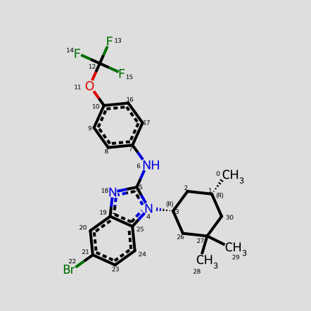 C[C@H]1C[C@@H](n2c(Nc3ccc(OC(F)(F)F)cc3)nc3cc(Br)ccc32)CC(C)(C)C1